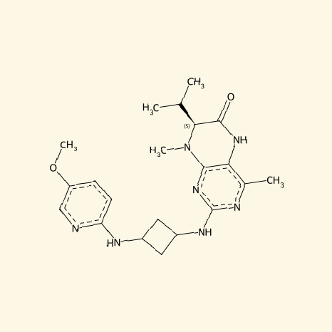 COc1ccc(NC2CC(Nc3nc(C)c4c(n3)N(C)[C@@H](C(C)C)C(=O)N4)C2)nc1